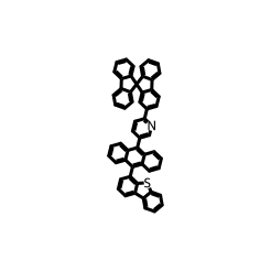 c1ccc2c(c1)-c1ccccc1C21c2ccccc2-c2ccc(-c3ccc(-c4c5ccccc5c(-c5cccc6c5sc5ccccc56)c5ccccc45)cn3)cc21